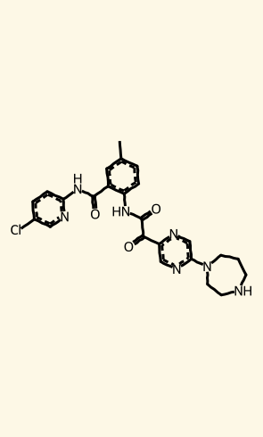 Cc1ccc(NC(=O)C(=O)c2cnc(N3CCCNCC3)cn2)c(C(=O)Nc2ccc(Cl)cn2)c1